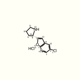 Cl.Clc1cnc2oc([C@@H]3CCCN3)cc2c1